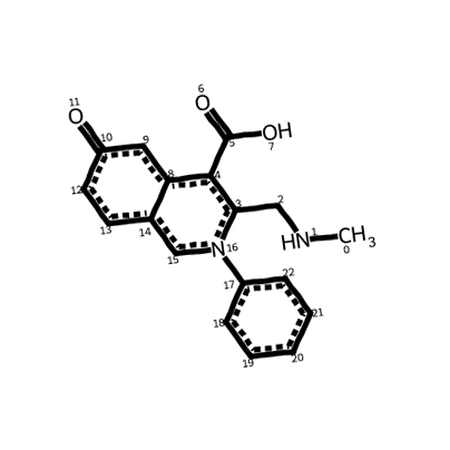 CNCc1c(C(=O)O)c2cc(=O)ccc-2cn1-c1ccccc1